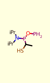 CC(C)N(C(C)C)P(OP)C(C)S